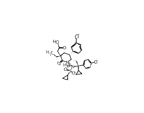 CC[C@@]1(CC(=O)O)C[C@H](c2cccc(Cl)c2)[C@H](C[C@@](c2ccc(Cl)cc2)(C2CC2)N(C)S(=O)(=O)C2CC2)NC1=O